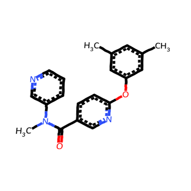 Cc1cc(C)cc(Oc2ccc(C(=O)N(C)c3cccnc3)cn2)c1